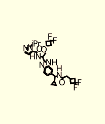 CC(C)n1nccc1C(=O)NC(COC1CC(F)(F)C1)c1nc2ccc(C(NC(=O)CC3CC(F)(F)C3)C3CC3)cc2[nH]1